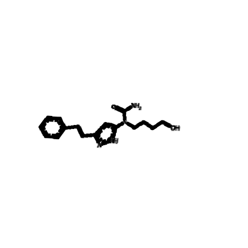 NC(=O)N(CCCCO)c1cc(CCc2ccccc2)n[nH]1